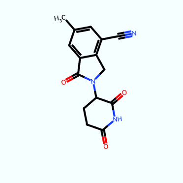 Cc1cc(C#N)c2c(c1)C(=O)N(C1CCC(=O)NC1=O)C2